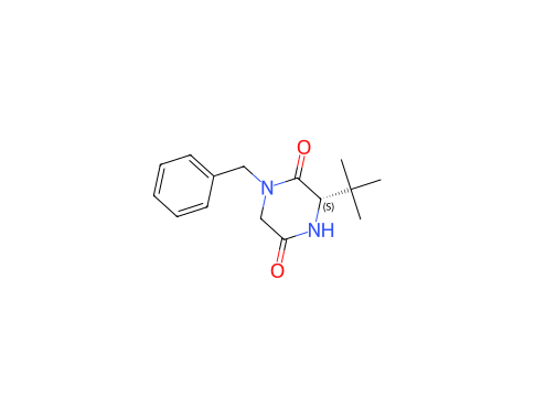 CC(C)(C)[C@@H]1NC(=O)CN(Cc2ccccc2)C1=O